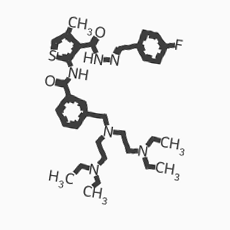 CCN(CC)CCN(CCN(CC)CC)Cc1cccc(C(=O)Nc2scc(C)c2C(=O)N/N=C/c2ccc(F)cc2)c1